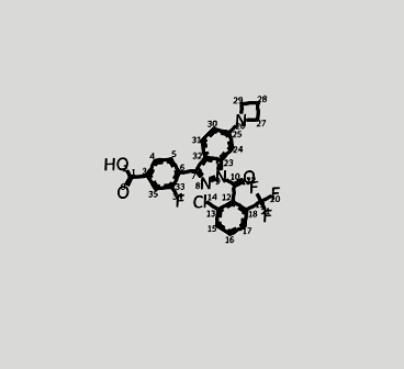 O=C(O)c1ccc(-c2nn(C(=O)c3c(Cl)cccc3C(F)(F)F)c3cc(N4CCC4)ccc23)c(F)c1